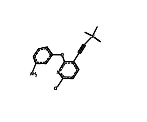 C[Si](C)(C)C#Cc1ccc(Cl)nc1Oc1cccc(N)c1